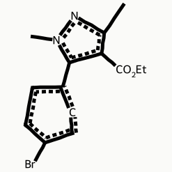 CCOC(=O)c1c(C)nn(C)c1-c1ccc(Br)cc1